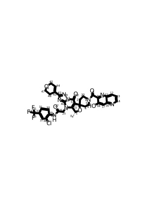 C[C@H]1OC2(CCN(C(=O)c3nc4cccnc4cc3O)CC2)c2c1n(CC(=O)Nc1ccc(C(F)(F)F)cc1Cl)c1nc(C3=CCOCC3)nn1c2=O